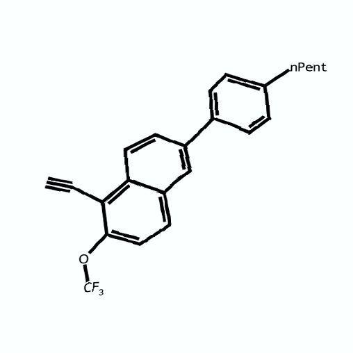 C#Cc1c(OC(F)(F)F)ccc2cc(-c3ccc(CCCCC)cc3)ccc12